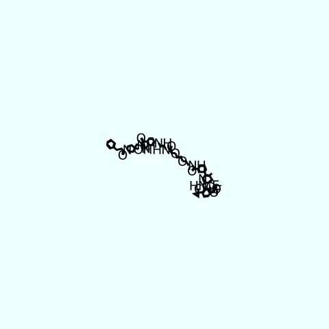 Cc1ccc(Nc2c(C3(C=O)CC3)ccc3c2OC(F)(F)O3)nc1-c1cccc(C(=O)NCCOCCOCC(=O)NCCNc2ccc3c(=O)n(CC4(O)CCN(C(=O)CCc5ccccc5)CC4)cnc3c2)c1